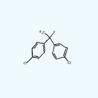 FC(F)(F)C(F)(c1ccc(Cl)cc1)c1ccc(Cl)cc1